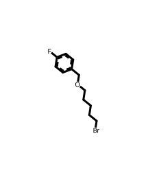 Fc1ccc(COCCCCCBr)cc1